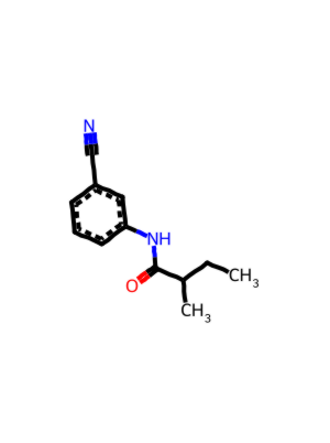 CCC(C)C(=O)Nc1cccc(C#N)c1